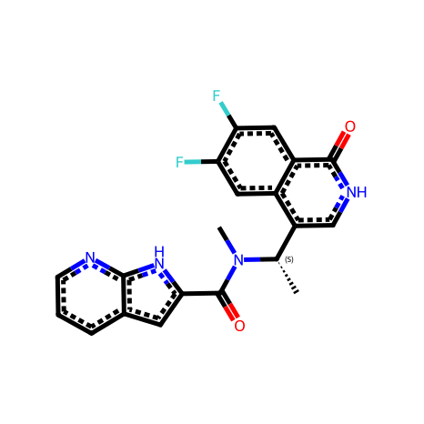 C[C@@H](c1c[nH]c(=O)c2cc(F)c(F)cc12)N(C)C(=O)c1cc2cccnc2[nH]1